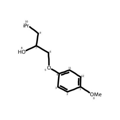 COc1ccc(OCC(O)CC(C)C)cc1